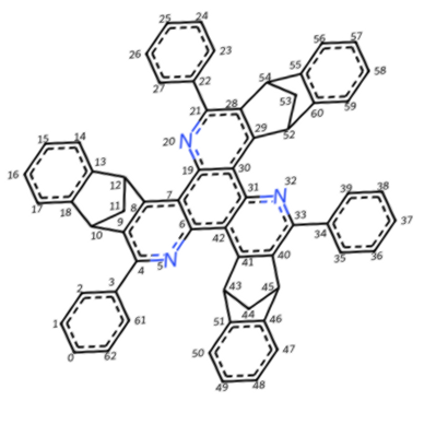 c1ccc(-c2nc3c(c4c2C2CC4c4ccccc42)c2nc(-c4ccccc4)c4c(c2c2nc(-c5ccccc5)c5c(c32)C2CC5c3ccccc32)C2CC4c3ccccc32)cc1